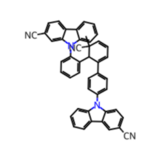 CC1(C#N)C=CC=C(c2ccc(-n3c4ccccc4c4cc(C#N)ccc43)cc2)C1c1ccccc1-n1c2ccccc2c2ccc(C#N)cc21